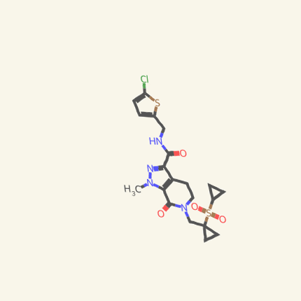 Cn1nc(C(=O)NCc2ccc(Cl)s2)c2c1C(=O)N(CC1(S(=O)(=O)C3CC3)CC1)CC2